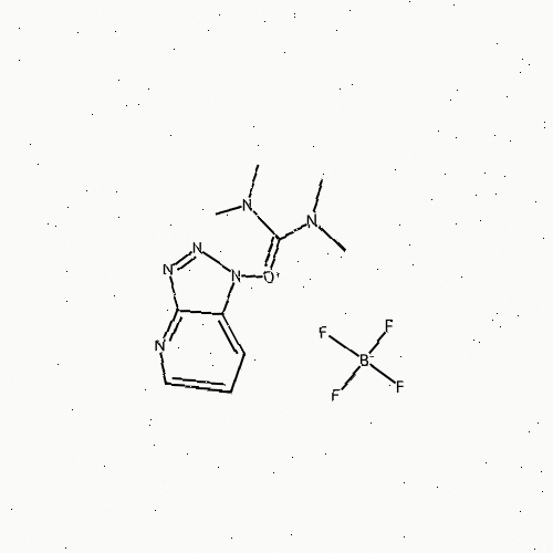 CN(C)C(=[O+]n1nnc2ncccc21)N(C)C.F[B-](F)(F)F